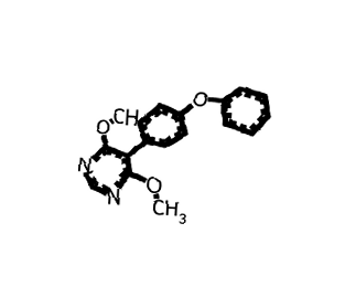 COc1ncnc(OC)c1-c1ccc(Oc2ccccc2)cc1